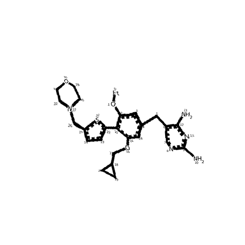 CCOc1cc(Cc2cnc(N)nc2N)cc(OCC2CC2)c1-c1ccc(CN2CCOCC2)s1